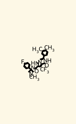 Cc1ccc(-c2cn3nc(C(=O)NC4(c5ccc(F)cc5)CN(C)C4)c(C(F)(F)F)c3c(=O)[nH]2)cc1C